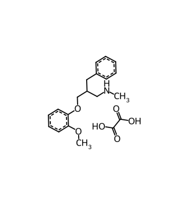 CNCC(COc1ccccc1OC)Cc1ccccc1.O=C(O)C(=O)O